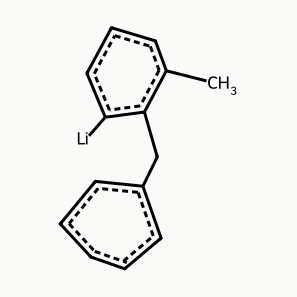 [Li][c]1cccc(C)c1Cc1ccccc1